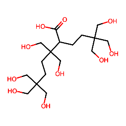 O=C(O)C(CCC(CO)(CO)CO)C(CO)(CO)CCC(CO)(CO)CO